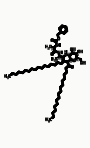 CCCCCCCCCCCCCCCCCCN(C(=O)CCCCCCCCCCCCCCCCC)[C@@H]1O[C@H](CO)[C@@H](O)[C@H](O)[C@H]1NC(=O)[C@H](C)NC(=O)[C@H](C)NC(=O)OCc1ccccc1